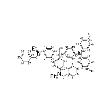 CCN(Cc1ccccc1)c1ccc(C(C)(c2ccc(N(CC)Cc3ccccc3)cc2)c2ccc(N(c3ccc(C)cc3)c3ccc(C)cc3)cc2)cc1